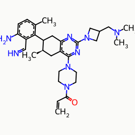 C=CC(=O)N1CCN(c2nc(N3CC(CN(C)C)C3)nc3c2C[C@@H](C)C(c2c(C)ccc(N)c2C=N)C3)CC1